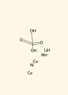 O=S(=O)(O)O.[Co].[Cu].[LiH].[Mn].[Ni]